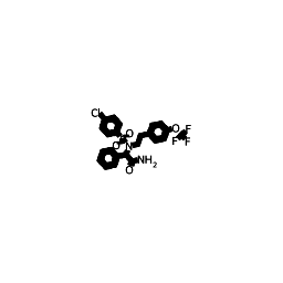 NC(=O)C(c1ccccc1)N(CCc1ccc(OC(F)(F)F)cc1)S(=O)(=O)c1ccc(Cl)cc1